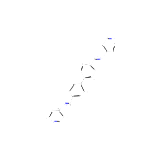 C(=N\c1ccncc1)/c1ccc(-c2ccc(/C=N/c3ccncc3)cc2)cc1